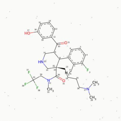 Cc1c(F)cccc1C1C(C(=O)c2cccc(O)c2)CNC[C@@]1(CCCCN(C)C)C(=O)N(C)CC(F)(F)F